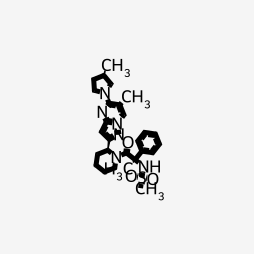 Cc1cn2nc([C@@H]3CCCCN3C(=O)[C@](C)(NS(C)(=O)=O)c3ccccc3)cc2nc1N1CC[C@H](C)C1